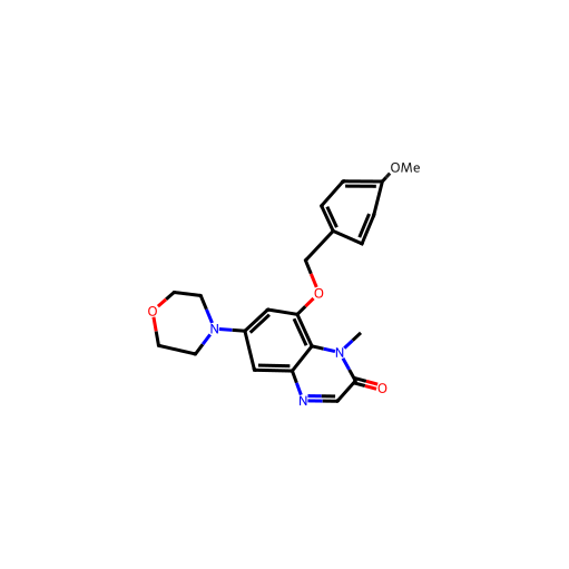 COc1ccc(COc2cc(N3CCOCC3)cc3ncc(=O)n(C)c23)cc1